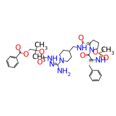 CC(C)(COC(=O)c1ccccc1)OC(=O)N/N=C(/N)N1CCC(CNC(=O)[C@@H]2CCCN2C(=O)[C@@H](Cc2ccccc2)NS(C)(=O)=O)CC1